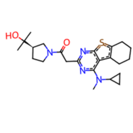 CN(c1nc(CC(=O)N2CC[C@@H](C(C)(C)O)C2)nc2sc3c(c12)CCCC3)C1CC1